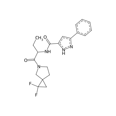 CCC(NC(=O)c1cc(-c2ccccc2)n[nH]1)C(=O)N1CCC2(C1)CC2(F)F